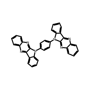 c1ccc2nc3c(nc2c1)c1ccccc1n3-c1ccc(-n2c3ccccc3c3nc4ccccc4nc32)cc1